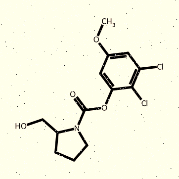 COc1cc(Cl)c(Cl)c(OC(=O)N2CCCC2CO)c1